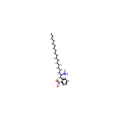 CCCCCCCCCCCCCCCCCC(Cc1ccccc1[N+](=O)[O-])NC